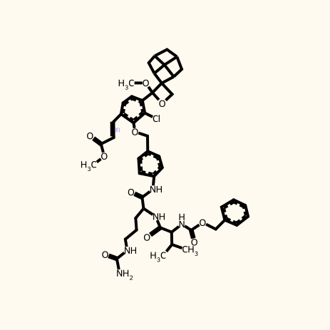 COC(=O)/C=C/c1ccc(C2(OC)OCC23C2CC4CC5CC3C452)c(Cl)c1OCc1ccc(NC(=O)C(CCCNC(N)=O)NC(=O)C(NC(=O)OCc2ccccc2)C(C)C)cc1